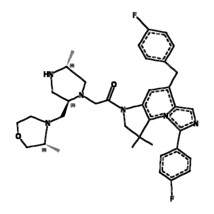 C[C@@H]1CN(CC(=O)N2CC(C)(C)c3c2cc(Cc2ccc(F)cc2)c2cnc(-c4ccc(F)cc4)n32)[C@@H](CN2CCOC[C@H]2C)CN1